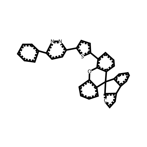 c1ccc(-c2ccc(-c3ccc(-c4cccc5c4Oc4ccccc4C54c5ccccc5-c5ccccc54)s3)nn2)cc1